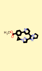 COC(=O)c1ccc(-c2cc(-c3c(-c4ccn(C5CC5)n4)nc4n3CCC4)ccn2)cc1